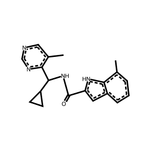 Cc1cncnc1C(NC(=O)c1cc2cccc(C)c2[nH]1)C1CC1